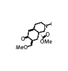 CO/C=C1/C[C@]2(C(=O)OC)CN(I)CCC2=CC1=O